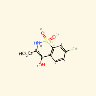 O=C(O)C1=C(O)c2ccc(F)cc2S(=O)(=O)N1